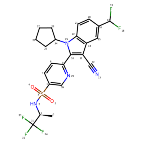 C[C@H](NS(=O)(=O)c1ccc(-c2c(C#N)c3cc(C(F)F)ccc3n2C2CCCC2)nc1)C(F)(F)F